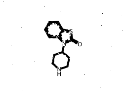 O=c1sc2ccccc2n1C1CCNCC1